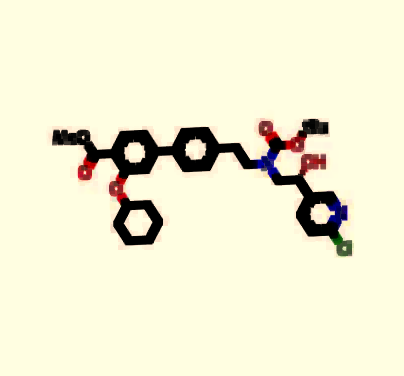 COC(=O)c1ccc(-c2ccc(CCN(C[C@H](O)c3ccc(Cl)nc3)C(=O)OC(C)(C)C)cc2)cc1OC1CCCCC1